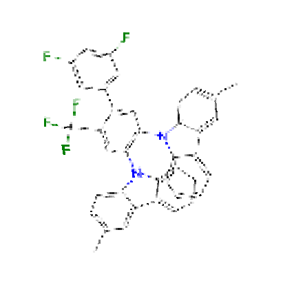 Cc1ccc2c(c1)c1ccccc1n2-c1cc(-c2cc(F)cc(F)c2)c(C(F)(F)F)cc1-n1c2ccccc2c2cc(C)ccc21